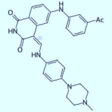 CC(=O)c1cccc(Nc2ccc3c(c2)/C(=C/Nc2ccc(N4CCN(C)CC4)cc2)C(=O)NC3=O)c1